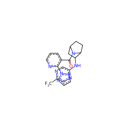 O=C(c1cccnc1-n1nccn1)N1C2CCC1C(Nc1cnc(C(F)(F)F)cn1)C2